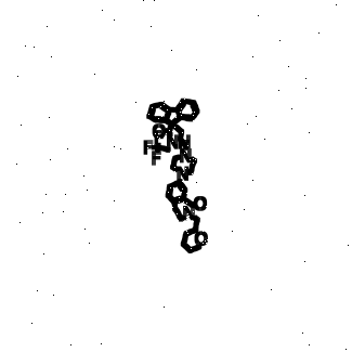 O=C1c2cc(N3CCN(CCCC4(C(=O)NCC(F)(F)F)c5ccccc5-c5ccccc54)CC3)ccc2CCN1CC1CCCCO1